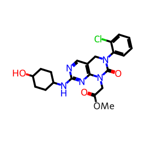 COC(=O)CN1C(=O)N(c2ccccc2Cl)Cc2cnc(NC3CCC(O)CC3)nc21